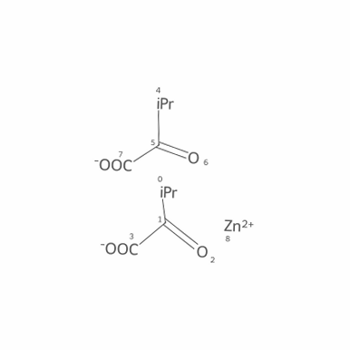 CC(C)C(=O)C(=O)[O-].CC(C)C(=O)C(=O)[O-].[Zn+2]